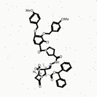 COc1ccc(COc2ccc(C(=O)N3CCC(C(=O)N/N=C/[C@@]4(C)[C@H](C(=O)OC(c5ccccc5)c5ccccc5)N5C(=O)C[C@H]5S4(=O)=O)C3)c(Cl)c2OCc2ccc(OC)cc2)cc1